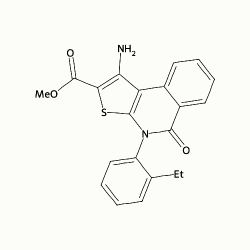 CCc1ccccc1-n1c(=O)c2ccccc2c2c(N)c(C(=O)OC)sc21